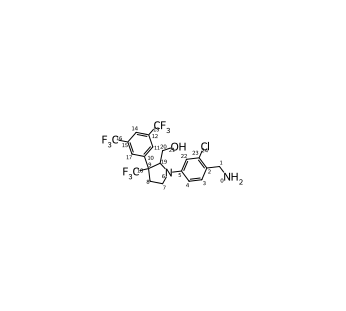 NCc1ccc(N2CCC(c3cc(C(F)(F)F)cc(C(F)(F)F)c3)(C(F)(F)F)C2CO)cc1Cl